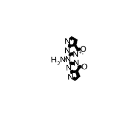 NN(C1=NC(=O)C2=CC=NC2=N1)C1=[N+]C(=O)C2=CC=NC2=N1